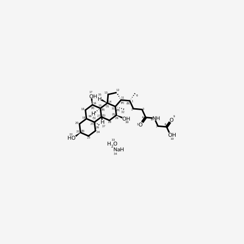 C[C@H](CCC(=O)NCC(=O)O)[C@H]1CC[C@H]2[C@@H]3[C@H](O)CC4C[C@H](O)CC[C@]4(C)[C@H]3C[C@H](O)[C@]12C.O.[NaH]